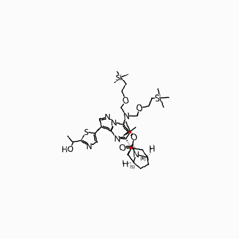 CC(O)c1ncc(-c2cnn3c(N(COCC[Si](C)(C)C)COCC[Si](C)(C)C)cc([C@@H]4C[C@H]5CC[C@@H](C4)N5C(=O)OC(C)(C)C)nc23)s1